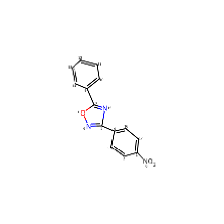 O=[N+]([O-])c1ccc(-c2noc(-c3ccccc3)n2)cc1